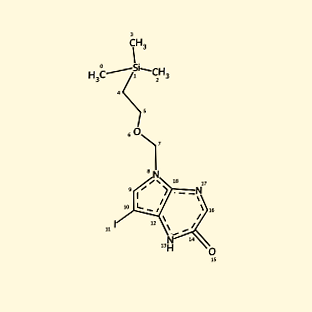 C[Si](C)(C)CCOCn1cc(I)c2[nH]c(=O)cnc21